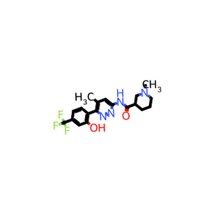 Cc1cc(NC(=O)C2CCCN(C)C2)nnc1-c1ccc(C(F)(F)F)cc1O